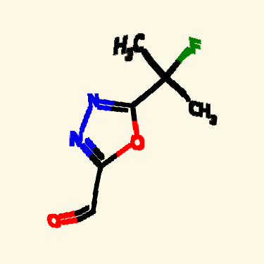 CC(C)(F)c1nnc(C=O)o1